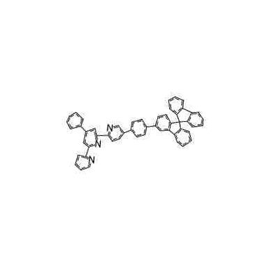 c1ccc(-c2cc(-c3ccccn3)nc(-c3ccc(-c4ccc(-c5ccc6c(c5)-c5ccccc5C65c6ccccc6-c6ccccc65)cc4)cn3)c2)cc1